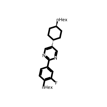 CCCCCCc1ccc(-c2ncc([C@H]3CC[C@H](CCCCCC)CC3)cn2)cc1F